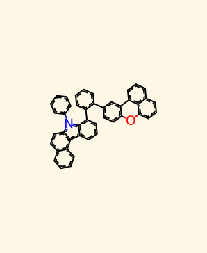 c1ccc(-n2c3ccc4ccccc4c3c3cccc(-c4ccccc4-c4ccc5c(c4)-c4cccc6cccc(c46)O5)c32)cc1